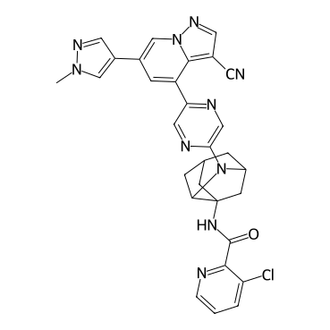 Cn1cc(-c2cc(-c3cnc(N4C5CC6CC4C(NC(=O)c4ncccc4Cl)(C6)C5)cn3)c3c(C#N)cnn3c2)cn1